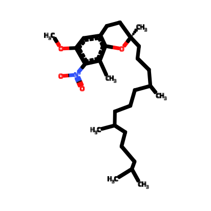 COc1cc2c(c(C)c1[N+](=O)[O-])O[C@](C)(CCCC(C)CCCC(C)CCCC(C)C)CC2